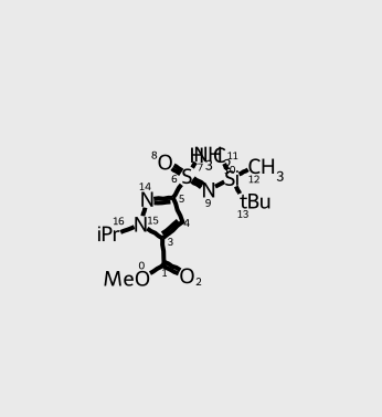 COC(=O)c1cc(S(N)(=O)=N[Si](C)(C)C(C)(C)C)nn1C(C)C